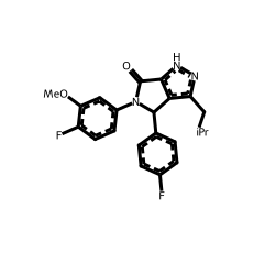 COc1cc(N2C(=O)c3[nH]nc(CC(C)C)c3C2c2ccc(F)cc2)ccc1F